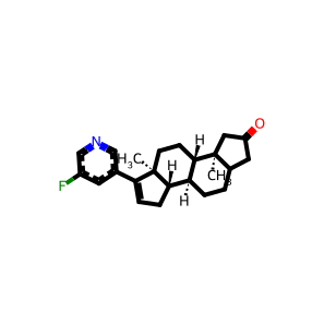 C[C@]12CC(=O)CC1CC[C@@H]1[C@@H]2CC[C@]2(C)C(c3cncc(F)c3)=CC[C@@H]12